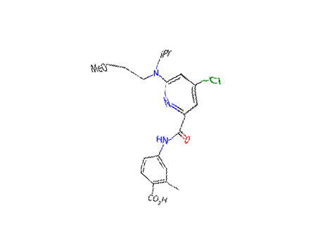 COCCN(c1cc(Cl)cc(C(=O)Nc2ccc(C(=O)O)c(C)c2)n1)C(C)C